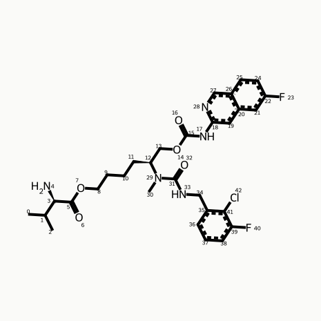 CC(C)[C@@H](N)C(=O)OCCCC[C@@H](COC(=O)Nc1cc2cc(F)ccc2cn1)N(C)C(=O)NCc1cccc(F)c1Cl